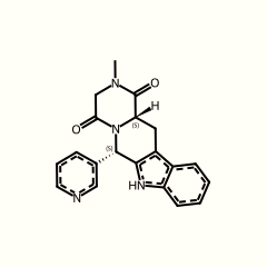 CN1CC(=O)N2[C@@H](c3cccnc3)c3[nH]c4ccccc4c3C[C@H]2C1=O